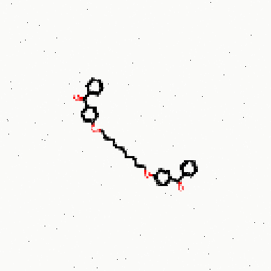 O=C(c1ccccc1)c1ccc(OCCCCCCCCCOc2ccc(C(=O)c3ccccc3)cc2)cc1